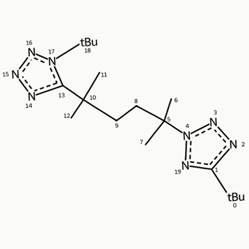 CC(C)(C)c1nnn(C(C)(C)CCC(C)(C)c2nnnn2C(C)(C)C)n1